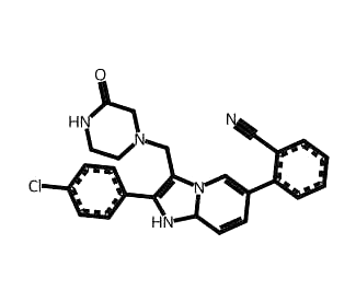 N#Cc1ccccc1C1=CN2C(CN3CCNC(=O)C3)=C(c3ccc(Cl)cc3)NC2C=C1